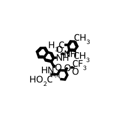 Cc1cc(C)c(NC(=O)Nc2cc3ccccc3cc2C(=O)N[C@H](C(=O)O)[C@H]2CCCC(OC(=O)C(F)(F)F)C2)c(C)c1